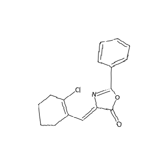 O=C1OC(c2ccccc2)=NC1=CC1=C(Cl)CCCC1